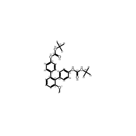 COc1cc[c]c(-c2ccc(OC(=O)OC(C)(C)C)cc2)c1-c1ccc(OC(=O)OC(C)(C)C)cc1